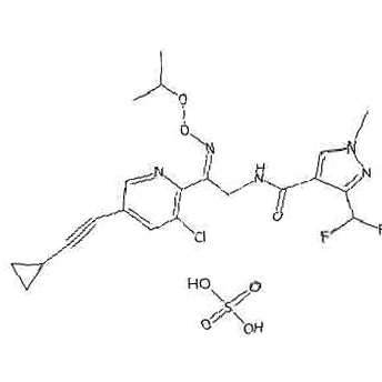 CC(C)OO/N=C(/CNC(=O)c1cn(C)nc1C(F)F)c1ncc(C#CC2CC2)cc1Cl.O=S(=O)(O)O